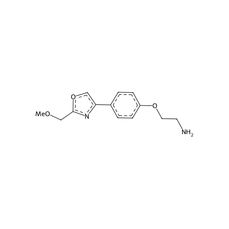 COCc1nc(-c2ccc(OCCN)cc2)co1